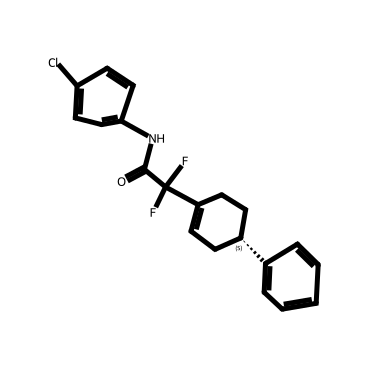 O=C(Nc1ccc(Cl)cc1)C(F)(F)C1=CC[C@@H](c2ccccc2)CC1